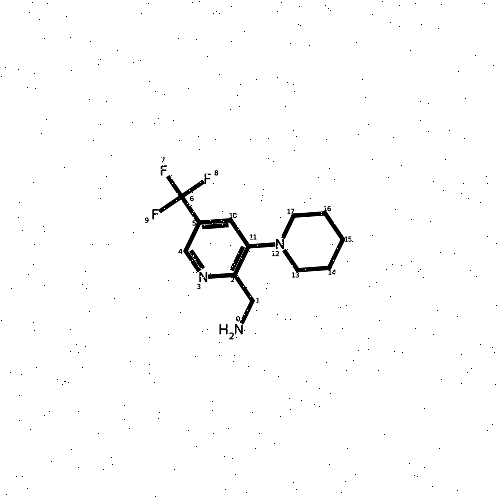 NCc1ncc(C(F)(F)F)cc1N1CCCCC1